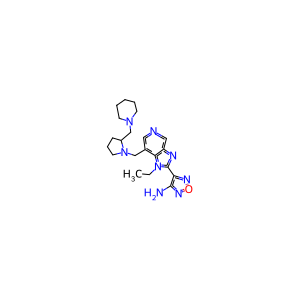 CCn1c(-c2nonc2N)nc2cncc(CN3CCCC3CN3CCCCC3)c21